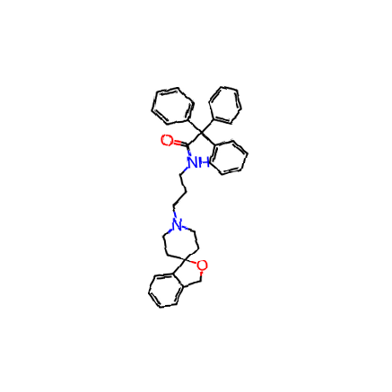 O=C(NCCCN1CCC2(CC1)OCc1ccccc12)C(c1ccccc1)(c1ccccc1)c1ccccc1